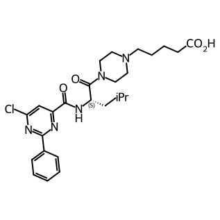 CC(C)C[C@H](NC(=O)c1cc(Cl)nc(-c2ccccc2)n1)C(=O)N1CCN(CCCCC(=O)O)CC1